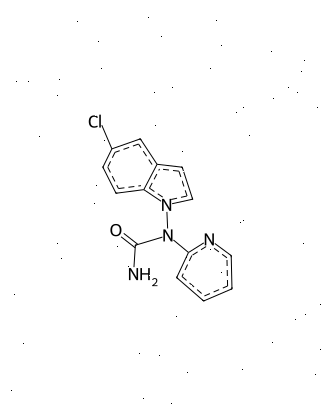 NC(=O)N(c1ccccn1)n1ccc2cc(Cl)ccc21